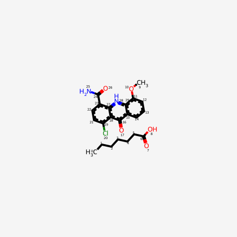 CCCCCCC(=O)O.COc1cccc2c(=O)c3c(Cl)ccc(C(N)=O)c3[nH]c12